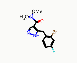 CON(C)C(=O)c1cn[nH]c1Cc1ccc(F)cc1Br